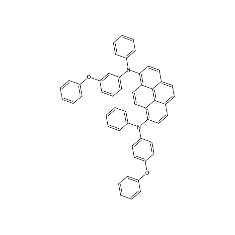 c1ccc(Oc2ccc(N(c3ccccc3)c3ccc4ccc5ccc(N(c6ccccc6)c6cccc(Oc7ccccc7)c6)c6ccc3c4c56)cc2)cc1